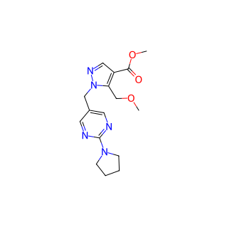 COCc1c(C(=O)OC)cnn1Cc1cnc(N2CCCC2)nc1